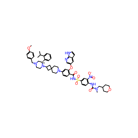 COc1ccc(CN2CCN(C3CC4(CCN(c5ccc(C(=O)NS(=O)(=O)c6ccc(NC(=O)N(C)CC7CCOCC7)c([N+](=O)[O-])c6)c(Oc6cnc7[nH]ccc7c6)c5)CC4)C3)[C@H](c3ccccc3C(C)C)C2)cc1